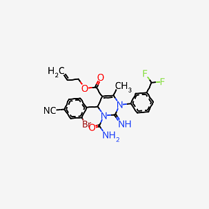 C=CCOC(=O)C1=C(C)N(c2cccc(C(F)F)c2)C(=N)N(C(N)=O)C1c1ccc(C#N)cc1Br